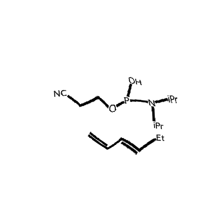 C=CC=CCC.CC(C)N(C(C)C)P(O)OCCC#N